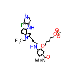 CNC(=O)c1ccc(NCC#Cc2cc3c(N[C@@H]4CCN(C)C[C@@H]4F)cccc3n2CC(F)(F)F)c(OCCCCCOS(C)(=O)=O)c1